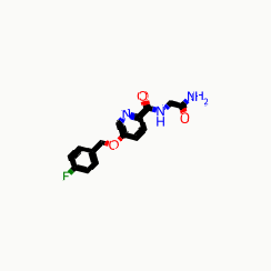 NC(=O)CNC(=O)c1ccc(OCc2ccc(F)cc2)cn1